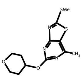 CSc1nc2nc(OC3CCOCC3)nc(C)c2s1